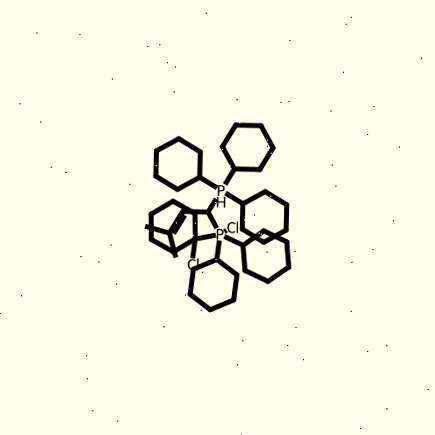 CC(C)=CC([PH](C1CCCCC1)(C1CCCCC1)C1CCCCC1)P(Cl)(C1CCCCC1)(C1CCCCC1)C1(Cl)CCCCC1